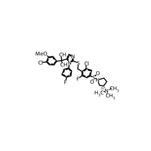 COc1cc(C(C)(C)c2cnc(SCc3c(F)cc(S(=O)(=O)N4CC[C@H]([N+](C)(C)C)C4)cc3Cl)n2-c2ccc(F)cc2)ccc1Cl